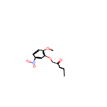 CCCC(=O)COc1cc([N+](=O)[O-])ccc1OC